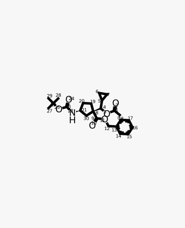 CC(=O)OC(C1CC1)[C@]1(C(=O)OCc2ccccc2)CC[C@@H](NC(=O)OC(C)(C)C)C1